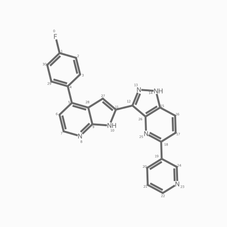 Fc1ccc(-c2ccnc3[nH]c(-c4n[nH]c5ccc(-c6cccnc6)nc45)cc23)cc1